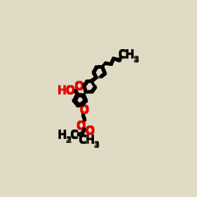 C=C(C)C(=O)OCCOc1ccc(C(=O)O)c([C@H]2CC[C@H]([C@H]3CC[C@H](CCCCC)CC3)CC2)c1